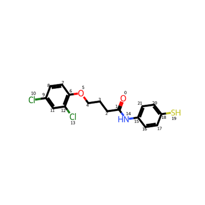 O=C(CCCOc1ccc(Cl)cc1Cl)Nc1ccc(S)cc1